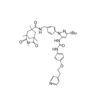 CN1C(=O)C2(C)CC(C)(C(=O)NCc3ccc(-n4nc(C(C)(C)C)cc4NC(=O)Nc4ccc(OCCc5ccncc5)cc4)cc3)CC(C)(C2)C1=O